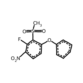 CS(=O)(=O)c1c(Oc2ccccc2)ccc([N+](=O)[O-])c1F